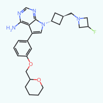 Nc1ncnc2c1c(-c1cccc(OCC3CCCCO3)c1)cn2[C@H]1C[C@H](CN2CC(F)C2)C1